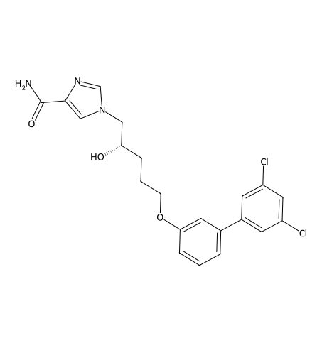 NC(=O)c1cn(C[C@@H](O)CCCOc2cccc(-c3cc(Cl)cc(Cl)c3)c2)cn1